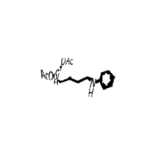 CC(=O)O[SiH](CCCCNc1ccccc1)OC(C)=O